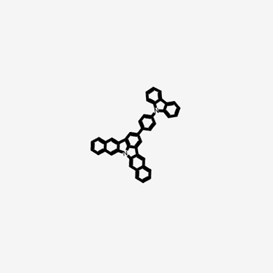 c1ccc2cc3c(cc2c1)c1cc(-c2ccc(-n4c5ccccc5c5ccccc54)cc2)cc2c4cc5ccccc5cc4n3c12